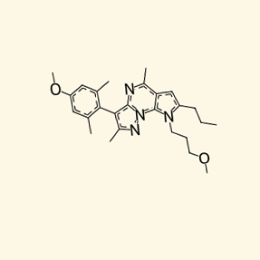 CCCc1cc2c(C)nc3c(-c4c(C)cc(OC)cc4C)c(C)nn3c2n1CCCOC